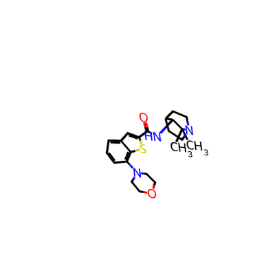 CC1(C)C(NC(=O)c2cc3cccc(N4CCOCC4)c3s2)C2CCN1CC2